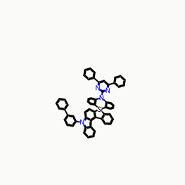 c1ccc(-c2cccc(-n3c4ccccc4c4c5c(ccc43)[Si]3(c4ccccc4-5)c4ccccc4N(c4nc(-c5ccccc5)cc(-c5ccccc5)n4)c4ccccc43)c2)cc1